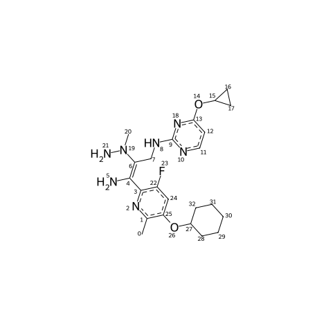 Cc1nc(/C(N)=C(\CNc2nccc(OC3CC3)n2)N(C)N)c(F)cc1OC1CCCCC1